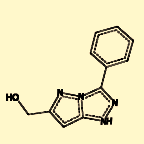 OCc1cc2[nH]nc(-c3ccccc3)n2n1